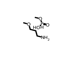 COCCCN.CO[PH](=O)O